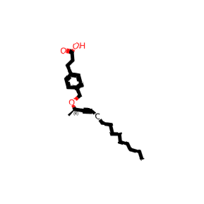 CCCCCCCCCCC#C[C@@H](C)OCc1ccc(CCC(=O)O)cc1